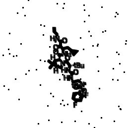 C=CCNC(=O)C(=O)C(CC1CC1)NC(=O)[C@@H]1[C@@H]2[C@H](CN1C(=O)[C@@H](NC(=O)N[C@H](CN(C)S(=O)(=O)c1ccc(F)cc1F)C(C)(C)C)C(C)(C)C)C2(C)C